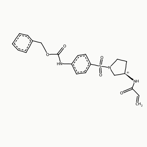 C=CC(=O)N[C@@H]1CCN(S(=O)(=O)c2ccc(NC(=O)OCc3ccccc3)cc2)C1